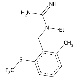 CCN(Cc1c(C)cccc1SC(F)(F)F)C(=N)N